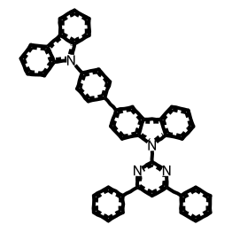 c1ccc(-c2cc(-c3ccccc3)nc(-n3c4ccccc4c4cc(-c5ccc(-n6c7ccccc7c7ccccc76)cc5)ccc43)n2)cc1